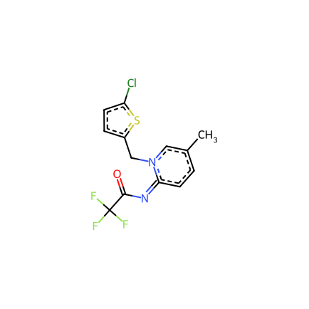 Cc1ccc(=NC(=O)C(F)(F)F)n(Cc2ccc(Cl)s2)c1